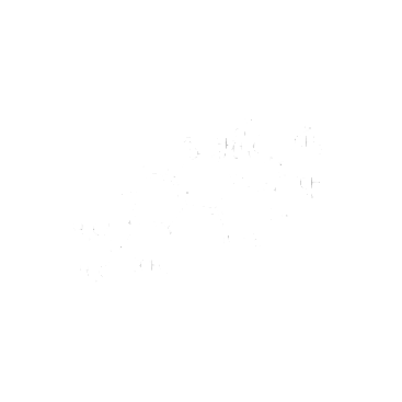 CC(C)(C)c1ccc2c(c1)-c1cccc(C(C)(C)C)c1[PH](=O)O2